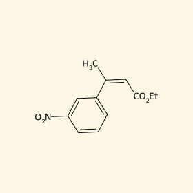 CCOC(=O)/C=C(/C)c1cccc([N+](=O)[O-])c1